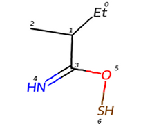 CCC(C)C(=N)OS